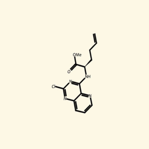 C=CCC[C@@H](Nc1nc(Cl)nc2cccnc12)C(=O)OC